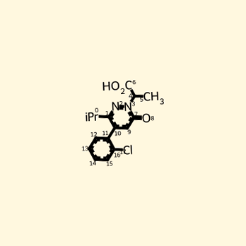 CC(C)c1nn(C(C)C(=O)O)c(=O)cc1-c1ccccc1Cl